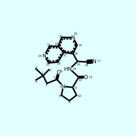 CC(C)(C)CC(=O)N1CCCC1C(=O)NC(C#N)c1cncc2cnccc12